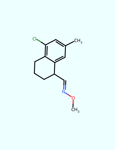 CON=CC1CCCc2c(Cl)cc(C)cc21